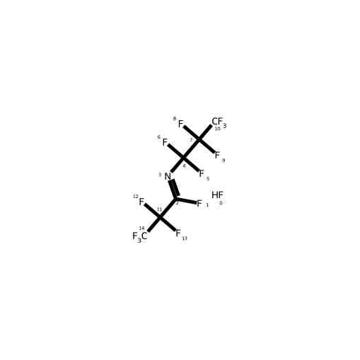 F.F/C(=N\C(F)(F)C(F)(F)C(F)(F)F)C(F)(F)C(F)(F)F